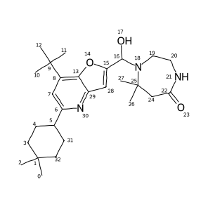 CC1(C)CCC(c2cc(C(C)(C)C)c3oc(C(O)N4CCNC(=O)CC4(C)C)cc3n2)CC1